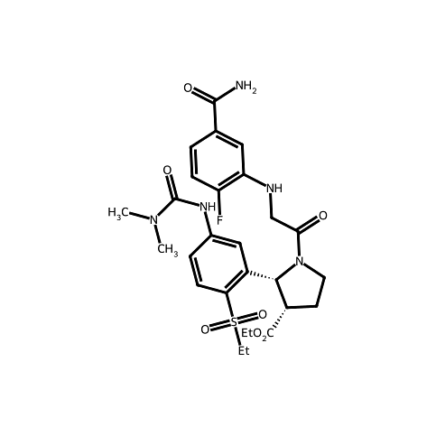 CCOC(=O)[C@H]1CCN(C(=O)CNc2cc(C(N)=O)ccc2F)[C@H]1c1cc(NC(=O)N(C)C)ccc1S(=O)(=O)CC